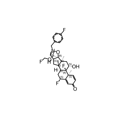 C[C@]12C[C@H](O)[C@@]3(F)[C@@H](C[C@H](F)C4=CC(=O)C=C[C@@]43C)[C@]1(C)C[C@H]1CN(Cc3ccc(F)cc3)O[C@]12C(=O)OCF